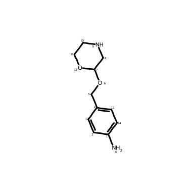 Nc1ccc(COC2CNCCO2)cc1